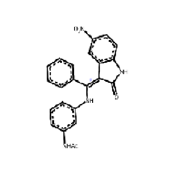 CC(=O)Nc1cccc(N/C(=C2\C(=O)Nc3ccc([N+](=O)[O-])cc32)c2ccccc2)c1